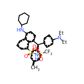 C=c1ccc(=C(c2ccc(N(CC)CC)cc2)c2ccc(NC3CCCCC3)c3cccc(S(=O)(=O)NS(=O)(=O)C(F)(F)F)c23)cc1